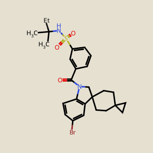 CCC(C)(C)NS(=O)(=O)c1cccc(C(=O)N2CC3(CCC4(CC4)CC3)c3cc(Br)ccc32)c1